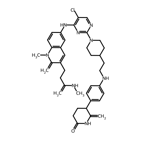 C=C(CCC1=Cc2cc(Nc3nc(N4CCC(CCNc5ccc(C6CCC(=O)NC6=C)cc5)CC4)ncc3Cl)ccc2N(C)C1=C)NC